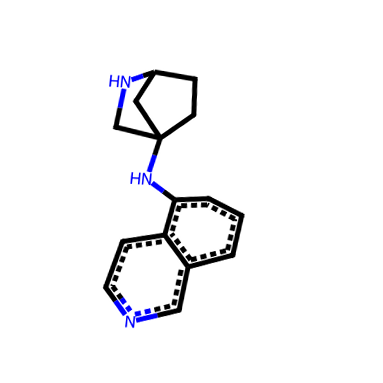 c1cc(NC23CCC(C2)NC3)c2ccncc2c1